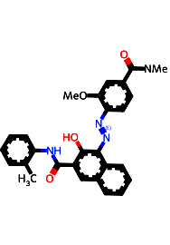 CNC(=O)c1ccc(/N=N/c2c(O)c(C(=O)Nc3ccccc3C)cc3ccccc23)c(OC)c1